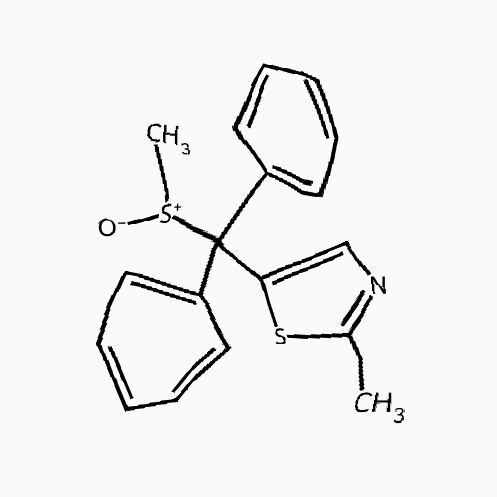 Cc1ncc(C(c2ccccc2)(c2ccccc2)[S+](C)[O-])s1